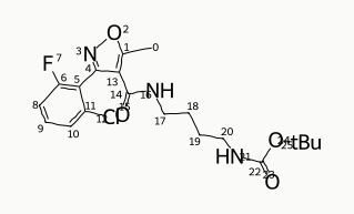 Cc1onc(-c2c(F)cccc2Cl)c1C(=O)NCCCCNC(=O)OC(C)(C)C